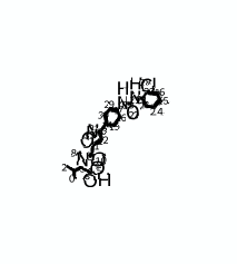 CC(C)C(C(=O)O)N(C)C(=O)c1cc(-c2ccc(NC(=O)Nc3ccccc3Cl)cc2)no1